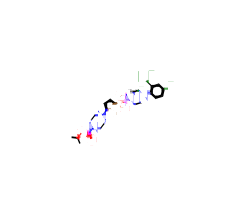 CC(C)OC(=O)N1CCN(c2ccc(S(=O)(=O)N3CCN(c4ccc(F)cc4C(F)(F)F)C[C@H]3C)s2)CC1